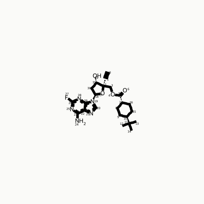 C#C[C@]1(COC(=O)[C@H]2CC[C@H](C(C)(C)C)CC2)O[C@@H](n2cnc3c(N)nc(F)nc32)C[C@@H]1O